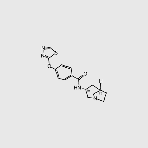 O=C(N[C@@H]1C[C@@H]2CCN(C2)C1)c1ccc(Oc2nncs2)cc1